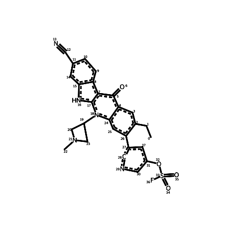 CCc1cc2c(=O)c3c4ccc(C#N)cc4[nH]c3n(C3CN(C)C3)c2cc1-c1cncc(OS(=O)(=O)F)c1